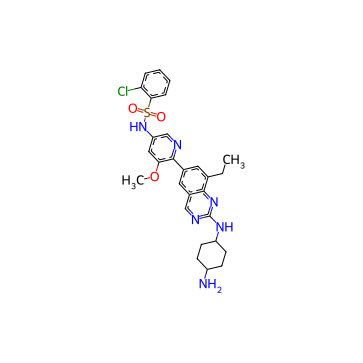 CCc1cc(-c2ncc(NS(=O)(=O)c3ccccc3Cl)cc2OC)cc2cnc(NC3CCC(N)CC3)nc12